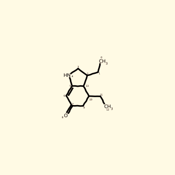 CCC1CNC2=CC(=O)CC(CC)C21